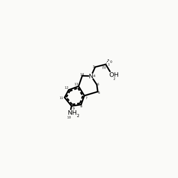 C[C@H](O)CN1CCc2cc(N)ccc2C1